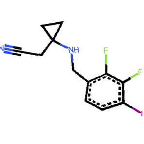 N#CCC1(NCc2ccc(I)c(F)c2F)CC1